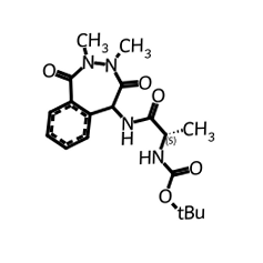 C[C@H](NC(=O)OC(C)(C)C)C(=O)NC1C(=O)N(C)N(C)C(=O)c2ccccc21